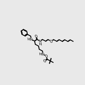 CCCCCCCCOCCCNC(=O)C(CCCCNOC(=O)C(C)(C)C)NCc1ccccc1